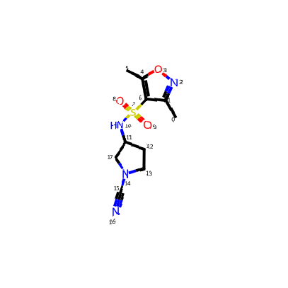 Cc1noc(C)c1S(=O)(=O)NC1CCN(C#N)C1